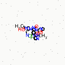 C=CC(O)N1CCN(c2nc(=O)n3c4c(c(-c5c(F)ccnc5NC)c(Cl)cc24)OCC3CN2CCCC2=O)C[C@@H]1CC#N